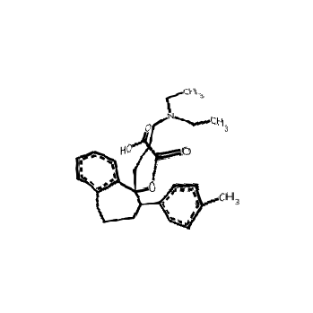 CCN(CC)CCC[C@]1(OC(=O)C(=O)O)c2ccccc2CCC[C@@H]1c1ccc(C)cc1